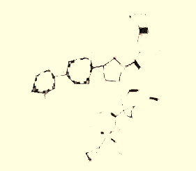 C=C[C@@H]1C[C@]1(NC(=O)[C@@H]1C[C@@](SC)(c2ccc(-c3ccccc3)cc2)CN1C(=O)[C@@H](NC(=O)OC(C)(C)C)C(C)(C)C)C(=O)NS(=O)(=O)C1CC1